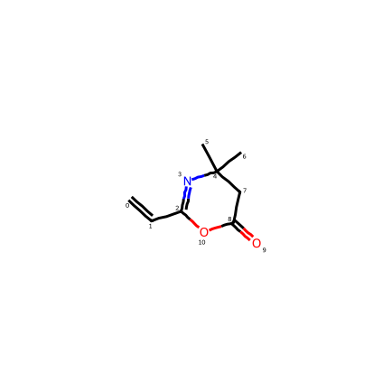 C=CC1=NC(C)(C)CC(=O)O1